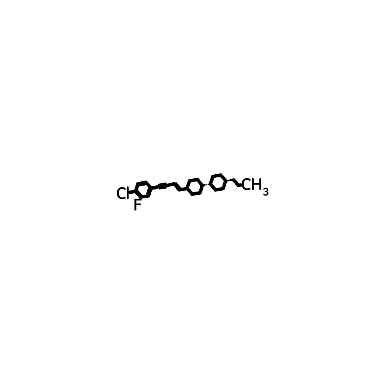 CCC[C@H]1CC[C@H](C2CCC(C=CC#Cc3ccc(Cl)c(F)c3)CC2)CC1